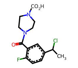 CC(Cl)c1ccc(F)c(C(=O)N2CCN(C(=O)O)CC2)c1